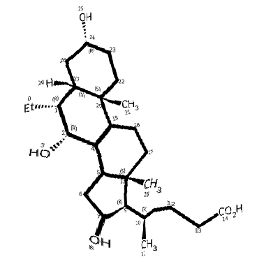 CC[C@H]1[C@@H](O)C2C3CC(O)[C@H]([C@H](C)CCC(=O)O)[C@@]3(C)CCC2[C@@]2(C)CC[C@@H](O)C[C@@H]12